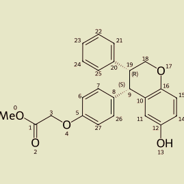 COC(=O)COc1ccc([C@H]2c3cc(O)ccc3OC[C@H]2c2ccccc2)cc1